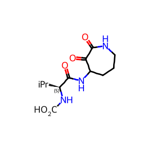 CC(C)[C@H](NC(=O)O)C(=O)NC1CCCNC(=O)C1=O